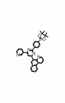 CC1(C)OB(c2ccc(-c3nc(-c4cccnc4)cc(-c4cc5ccccc5c5cccnc45)n3)cc2)OC1(C)C